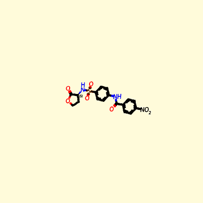 O=C(Nc1ccc(S(=O)(=O)N[C@H]2CCOC2=O)cc1)c1ccc([N+](=O)[O-])cc1